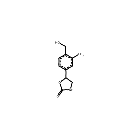 Cc1cc(C2CNC(=O)O2)ccc1CO